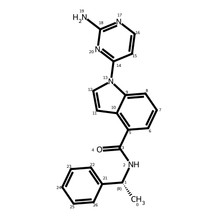 C[C@@H](NC(=O)c1cccc2c1ccn2-c1ccnc(N)n1)c1ccccc1